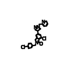 O=C1c2c(Cl)cc(C3C=NN(Cc4ccccn4)C3)cc2CN1Cc1ccc(Cl)cc1